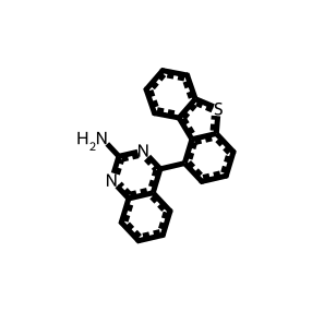 Nc1nc(-c2cccc3sc4ccccc4c23)c2ccccc2n1